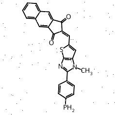 Cn1c(-c2ccc(P)cc2)nc2sc(C=C3C(=O)c4cc5ccccc5cc4C3=O)cc21